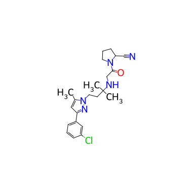 Cc1cc(-c2cccc(Cl)c2)nn1CCC(C)(C)NCC(=O)N1CCCC1C#N